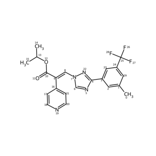 Cc1cc(-c2ncn(/C=C(/C(=O)OC(C)C)c3ccncc3)n2)cc(C(F)(F)F)c1